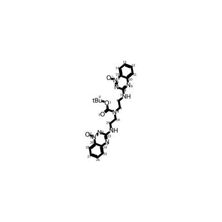 CC(C)(C)OC(=O)N(CCNc1nc2ccccc2[n+]([O-])n1)CCNc1nc2ccccc2[n+]([O-])n1